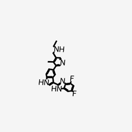 CCNCc1cncc(-c2ccc3[nH]cc(-c4nc5c(F)cc(F)cc5[nH]4)c3c2)c1C